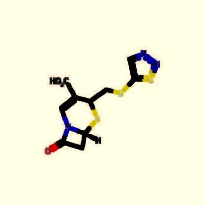 O=C(O)C1=CN2C(=O)C[C@H]2SC1CSc1cnns1